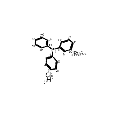 [Cl-].[H-].[Ru+2].c1ccc(P(c2ccccc2)c2ccccc2)cc1